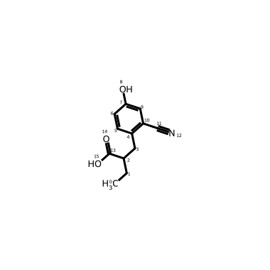 CCC(Cc1ccc(O)cc1C#N)C(=O)O